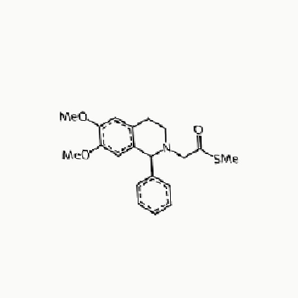 COc1cc2c(cc1OC)C(c1ccccc1)N(CC(=O)SC)CC2